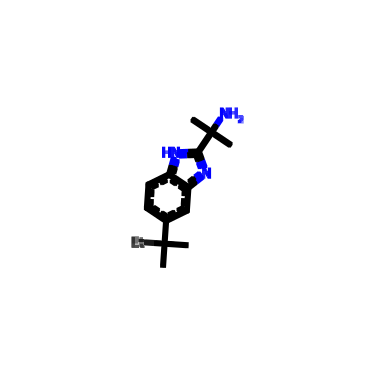 CCC(C)(C)c1ccc2[nH]c(C(C)(C)N)nc2c1